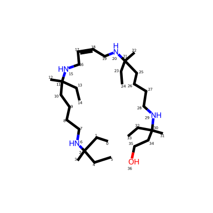 CCC(C)(CC)NCCCCC(C)(CC)NC/C=C\CNC(C)(CC)CCCCNC(C)(CC)CCO